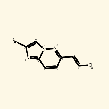 CC=Cc1ccc2nc(Br)cn2n1